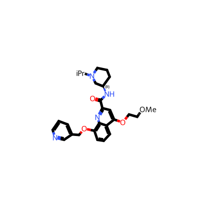 COCCOc1cc(C(=O)N[C@@H]2CCCN(C(C)C)C2)nc2c(OCc3cccnc3)cccc12